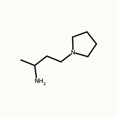 CC(N)CCN1CCCC1